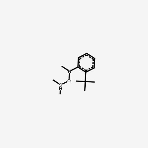 CN(O[SiH](C)C)c1ccccc1C(C)(C)C